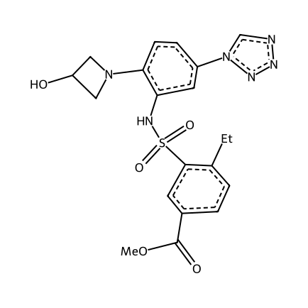 CCc1ccc(C(=O)OC)cc1S(=O)(=O)Nc1cc(-n2cnnn2)ccc1N1CC(O)C1